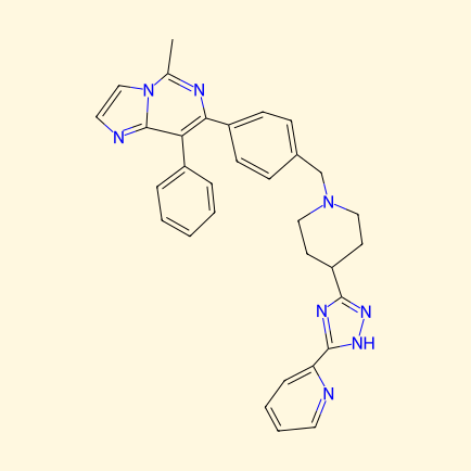 Cc1nc(-c2ccc(CN3CCC(c4n[nH]c(-c5ccccn5)n4)CC3)cc2)c(-c2ccccc2)c2nccn12